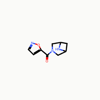 O=C(c1ccno1)N1CC2CC(C1)N2